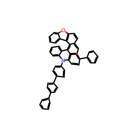 c1ccc(-c2ccc(-c3ccc(N(c4ccc(-c5ccccc5)cc4)c4ccccc4-c4cccc5ccc6oc7ccccc7c6c45)cc3)cc2)cc1